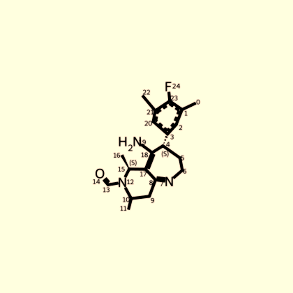 Cc1cc([C@@H]2CCN=C3CC(C)N(C=O)[C@@H](C)C3=C2N)cc(C)c1F